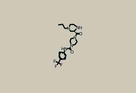 CCCN1CCN[C@@H](C(=O)N2CCN(C(=O)Nc3ccc(C(F)(F)F)cc3)CC2)C1